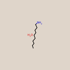 CCCCCCCCCCN.O